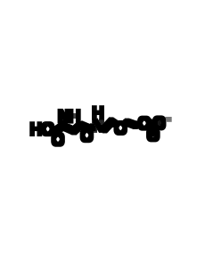 N=C(CCC(=O)NCCOCCO[N+](=O)[O-])C(=O)O